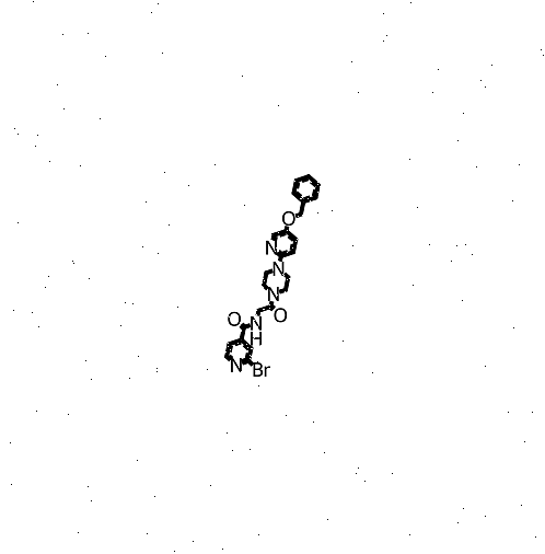 O=C(NCC(=O)N1CCN(c2ccc(OCc3ccccc3)cn2)CC1)c1ccnc(Br)c1